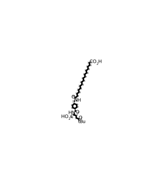 CC(C)(C)C(=O)CC[C@H](NC(=O)[C@H]1CC[C@H](CNC(=O)CCCCCCCCCCCCCCCCCCC(=O)O)CC1)C(=O)O